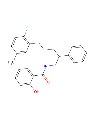 Cc1ccc(F)c(CCCC(CNC(=O)c2ccccc2O)c2ccccc2)c1